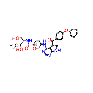 CC(O)C(CO)NC(=O)[C@@H]1CC[C@@H](Nc2ncnc3[nH]cc(C(=O)c4ccc(Oc5ccccc5)cc4)c23)CO1